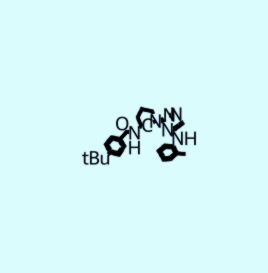 Cc1ccccc1Nc1cnnc(N2CCC[C@@H](NC(=O)c3ccc(C(C)(C)C)cc3)C2)n1